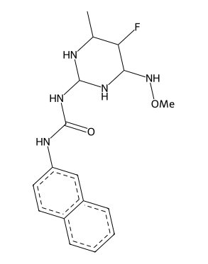 CONC1NC(NC(=O)Nc2ccc3ccccc3c2)NC(C)C1F